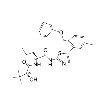 CCC[C@H](NC(=O)[C@@H](O)C(C)(C)C)C(=O)Nc1ncc(-c2cc(C)ccc2COc2ccccc2)s1